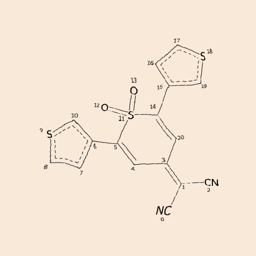 N#CC(C#N)=C1C=C(c2ccsc2)S(=O)(=O)C(c2ccsc2)=C1